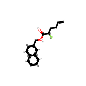 C=CCCC(F)C(=O)OCc1ccc2ccccc2c1